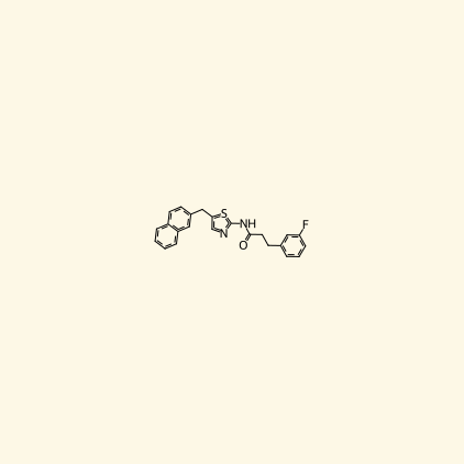 O=C(CCc1cccc(F)c1)Nc1ncc(Cc2ccc3ccccc3c2)s1